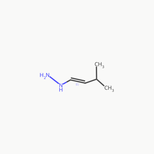 CC(C)/C=C/NN